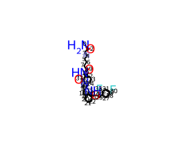 NC(=O)/C=C/CCCC(=O)Nc1cccn(Cc2cc3cccc(OCc4ccc(F)cc4F)c3[nH]2)c1=O